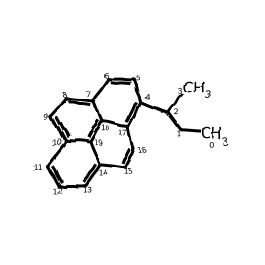 CC[C](C)c1ccc2ccc3cccc4ccc1c2c34